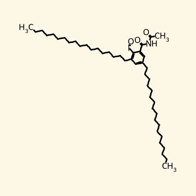 CCCCCCCCCCCCCCCCCCc1cc(CCCCCCCCCCCCCCCCCC)c(I=O)c(C(=O)NC(C)=O)c1